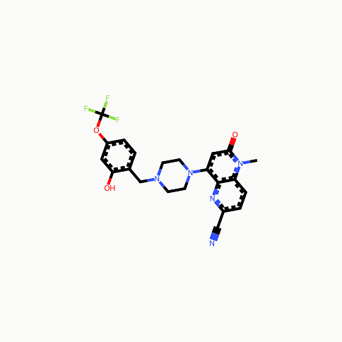 Cn1c(=O)cc(N2CCN(Cc3ccc(OC(F)(F)F)cc3O)CC2)c2nc(C#N)ccc21